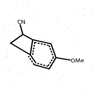 COc1ccc2c(c1)C(C#N)C2